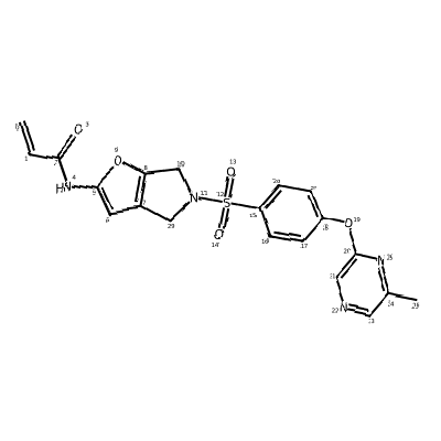 C=CC(=O)Nc1cc2c(o1)CN(S(=O)(=O)c1ccc(Oc3cncc(C)n3)cc1)C2